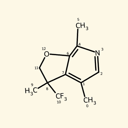 Cc1cnc(C)c2c1C(C)(C(F)(F)F)CO2